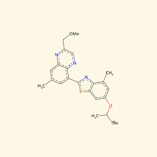 COCc1cnc2c(-c3nc4c(C)cc(OC(C)C(C)(C)C)cc4s3)cc(C)cc2n1